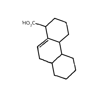 O=C(O)C1CCCC2C1=CCC1CCCCC12